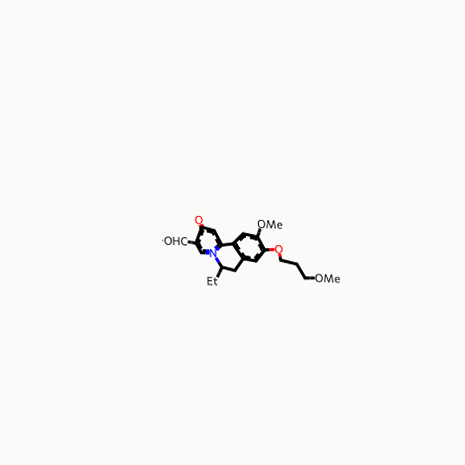 CCC1Cc2cc(OCCCOC)c(OC)cc2-c2cc(=O)c([C]=O)cn21